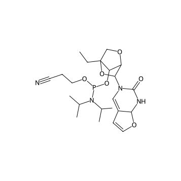 CCC12COC(C(N3C=C4C=COC4NC3=O)O1)C2OP(OCCC#N)N(C(C)C)C(C)C